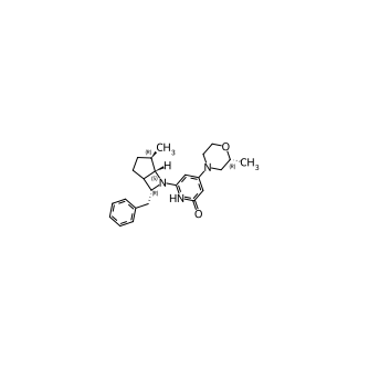 C[C@@H]1CN(c2cc(N3[C@H](Cc4ccccc4)C4CC[C@@H](C)[C@@H]43)[nH]c(=O)c2)CCO1